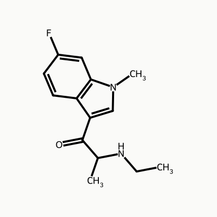 CCNC(C)C(=O)c1cn(C)c2cc(F)ccc12